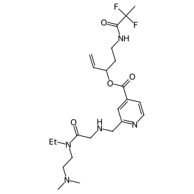 C=CC(CCNC(=O)C(C)(F)F)OC(=O)c1ccnc(CNCC(=O)N(CC)CCN(C)C)c1